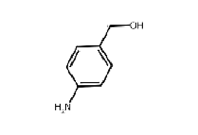 Nc1ccc([CH]O)cc1